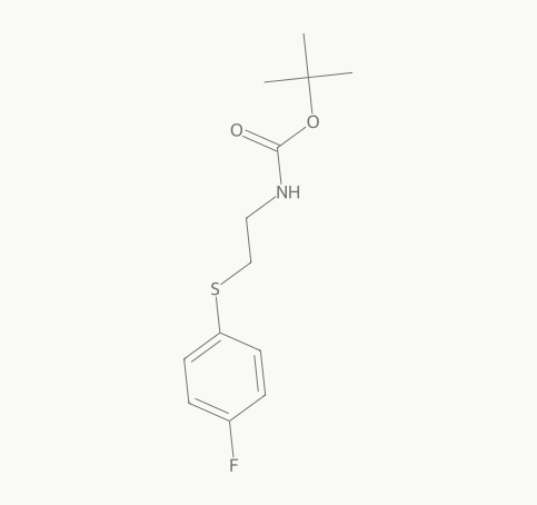 CC(C)(C)OC(=O)NCCSc1ccc(F)cc1